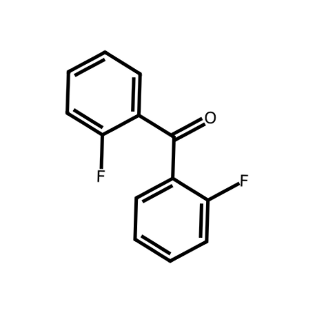 O=C(c1ccccc1F)c1ccccc1F